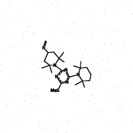 C=NC1CC(C)(C)N(c2nc(SC)nc(N3C(C)(C)CCCC3(C)C)n2)C(C)(C)C1